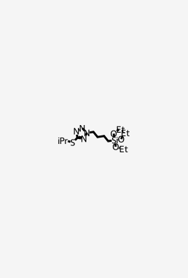 CCO[Si](CCCCn1nnc(SC(C)C)n1)(OCC)OCC